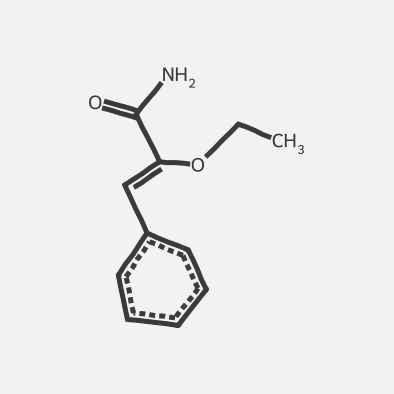 CCOC(=Cc1ccccc1)C(N)=O